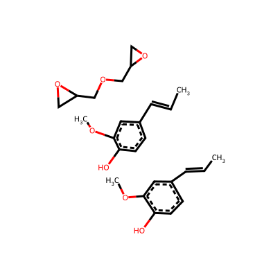 C(OCC1CO1)C1CO1.CC=Cc1ccc(O)c(OC)c1.CC=Cc1ccc(O)c(OC)c1